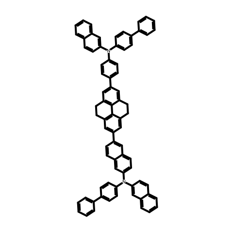 c1ccc(-c2ccc(N(c3ccc(-c4cc5c6c(c4)CCc4cc(-c7ccc8cc(N(c9ccc(-c%10ccccc%10)cc9)c9ccc%10ccccc%10c9)ccc8c7)cc(c4-6)CC5)cc3)c3ccc4ccccc4c3)cc2)cc1